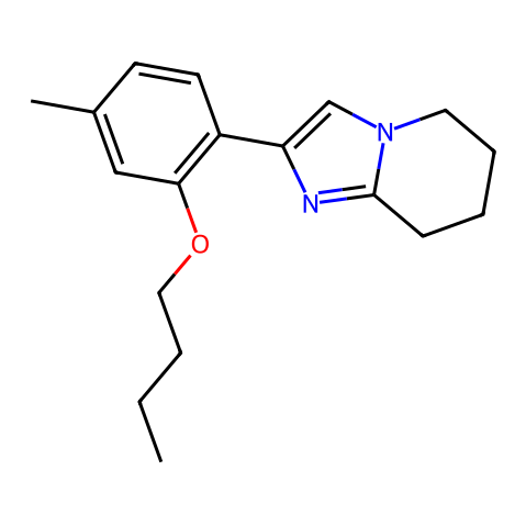 CCCCOc1cc(C)ccc1-c1cn2c(n1)CCCC2